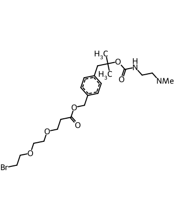 CNCCNC(=O)OC(C)(C)Cc1ccc(COC(=O)CCOCCOCCBr)cc1